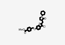 COC(=O)c1ccc(COc2ccc3c(Cl)c(CC4CCN(C5CCCCC5)C4=O)sc3c2)cc1